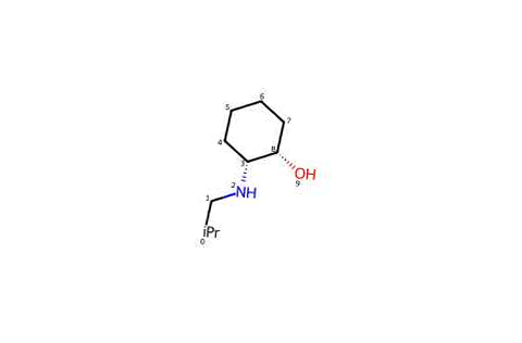 CC(C)CN[C@@H]1CCCC[C@@H]1O